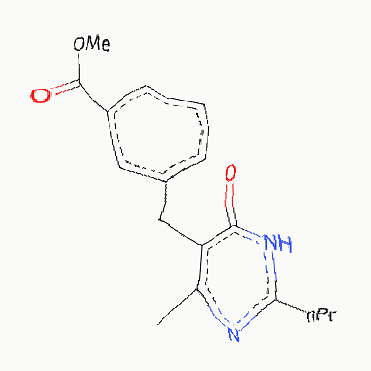 CCCc1nc(C)c(Cc2cccc(C(=O)OC)c2)c(=O)[nH]1